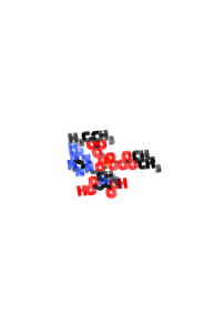 CC(C)OC(=O)OCOP(=O)(CO[C@H](C)Cn1cnc2c(N)ncnc21)OCOC(=O)OC(C)C.N[C@@H](CC(=O)O)C(=O)O